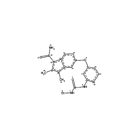 CCNC(=O)Nc1cc(Oc2ccc3c(c2)c(C)c(C)n3C(N)=O)ccn1